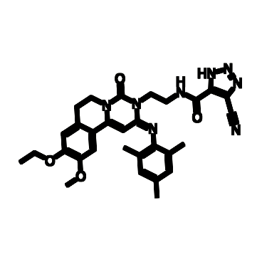 CCOc1cc2c(cc1OC)-c1c/c(=N\c3c(C)cc(C)cc3C)n(CCNC(=O)c3[nH]nnc3C#N)c(=O)n1CC2